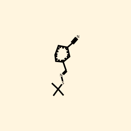 CC(C)(C)S/N=C/c1cccc(C#N)c1